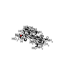 CC[C@H](C)[C@H](NC(=O)[C@H](CCC(N)=O)NC(=O)[C@H](C)NC(=O)[C@@H](NC(=O)[C@@H](N)CO)[C@@H](C)O)C(=O)N[C@@H](CO)C(=O)N[C@@H](CCC(N)=O)C(=O)N[C@@H](C)C(=O)N[C@H](C(=O)N[C@H](C(=O)N[C@H](C(=O)N[C@H](C(=O)N[C@@H](CCC(N)=O)C(=O)N1CCC[C@H]1C(=O)N[C@@H](CO)C(=O)O)[C@@H](C)O)[C@@H](C)O)[C@@H](C)O)C(C)C